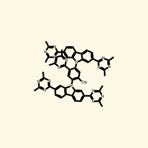 Cc1cc(C)nc(-c2cc(-n3c4cc(-c5nc(C)nc(C)n5)ccc4c4ccc(-c5nc(C)nc(C)n5)cc43)c(C#N)cc2-n2c3cc(-c4nc(C)nc(C)n4)ccc3c3ccc(-c4nc(C)nc(C)n4)cc32)n1